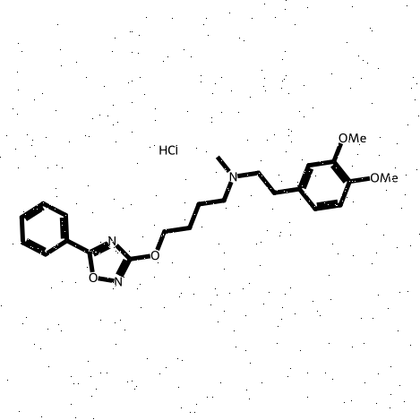 COc1ccc(CCN(C)CCCCOc2noc(-c3ccccc3)n2)cc1OC.Cl